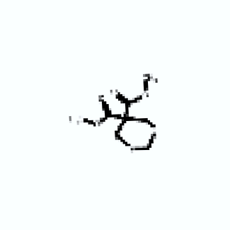 COC(=O)C1(C(=O)OC)CSCSC1